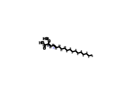 CCCCCCCCCCCCC/C=C/C=C(\OO)C(=O)O